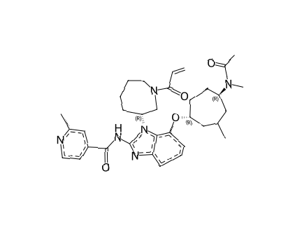 C=CC(=O)N1CCCC[C@@H](n2c(NC(=O)c3ccnc(C)c3)nc3cccc(O[C@@H]4CC[C@@H](N(C)C(C)=O)CC(C)C4)c32)C1